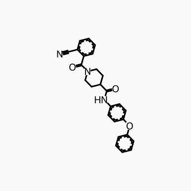 N#Cc1ccccc1C(=O)N1CCC(C(=O)Nc2ccc(Oc3ccccc3)cc2)CC1